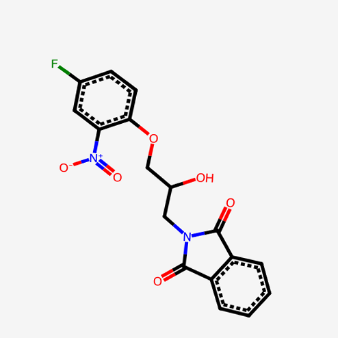 O=C1c2ccccc2C(=O)N1CC(O)COc1ccc(F)cc1[N+](=O)[O-]